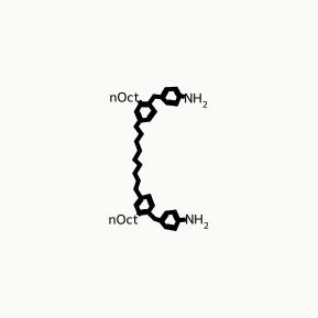 CCCCCCCCc1cc(CCCCCCCCCc2ccc(Cc3ccc(N)cc3)c(CCCCCCCC)c2)ccc1Cc1ccc(N)cc1